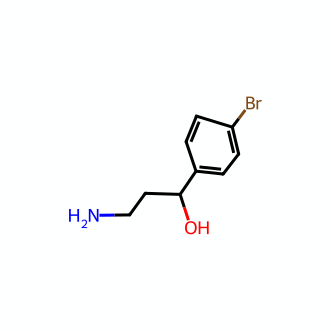 NCCC(O)c1ccc(Br)cc1